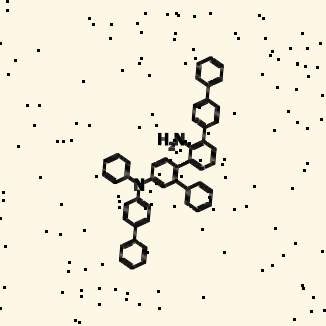 Nc1c(-c2ccc(-c3ccccc3)cc2)cccc1-c1ccc(N(c2ccccc2)c2ccc(-c3ccccc3)cc2)cc1-c1ccccc1